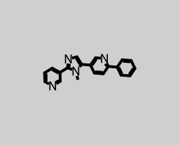 Cn1c(-c2ccc(-c3ccccc3)nc2)cnc1-c1cccnc1